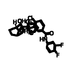 O=C(Nc1ccc(F)c(F)c1)c1ccc(Cl)c(S(=O)(=O)[C@@H]2CC3CC[C@@H](C2)[C@@]3(O)C(O)c2ncccn2)c1